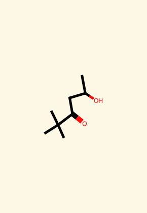 CC(O)CC(=O)C(C)(C)C